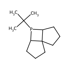 CC(C)(C)P1C2CCCC23CCCC13